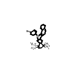 CC1(C)CCC(C)(C)c2cc3c(cc21)c1ccc2ccccc2c1n3-c1ccc(Br)cc1